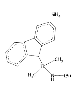 CC(C)(C)[NH][Ti]([CH3])([CH3])[CH]1c2ccccc2-c2ccccc21.[SiH4]